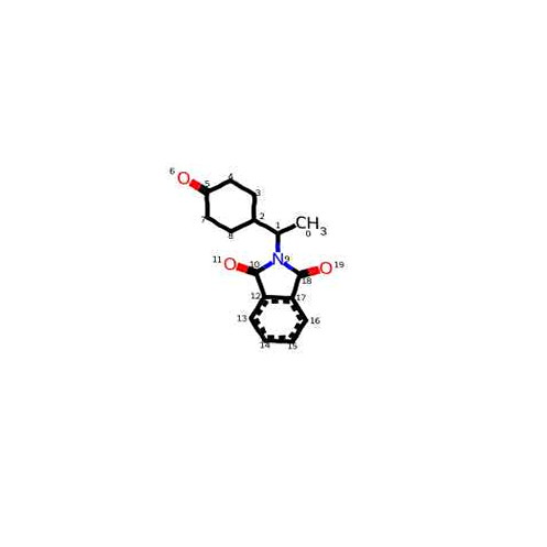 CC(C1CCC(=O)CC1)N1C(=O)c2ccccc2C1=O